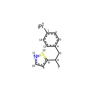 CC(C)c1ccc(CC(C)c2ccns2)cc1